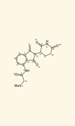 C=C1c2cccc(NC(=O)CSC)c2C(=O)N1C1CCC(=O)NC1=O